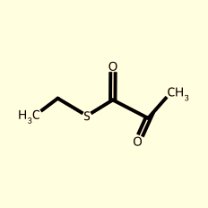 CCSC(=O)C(C)=O